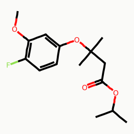 COc1cc(OC(C)(C)CC(=O)OC(C)C)ccc1F